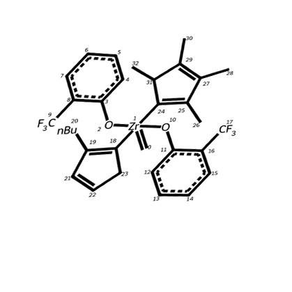 [CH2]=[Zr]([O]c1ccccc1C(F)(F)F)([O]c1ccccc1C(F)(F)F)([C]1=C(CCCC)C=CC1)[C]1=C(C)C(C)=C(C)C1C